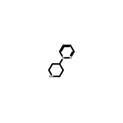 C1=CC=NN(C2CCNCC2)C=1